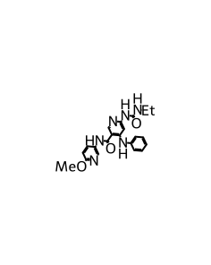 CCNC(=O)Nc1cc(Nc2ccccc2)c(C(=O)Nc2ccc(OC)nc2)cn1